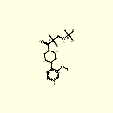 COc1cnccc1C1CCN(C(=O)C(C)(C)COC(C)(C)C)CC1